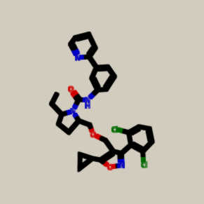 CCC1CCC(COCc2c(-c3c(Cl)cccc3Cl)noc2C2CC2)N1C(=O)Nc1cccc(-c2ccccn2)c1